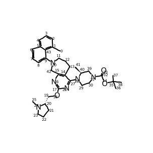 Cc1cccc2cccc(N3CCCc4c(nc(OC[C@@H]5CCCN5C)nc4N4CCN(C(=O)OC(C)(C)C)C[C@@H]4C)C3)c12